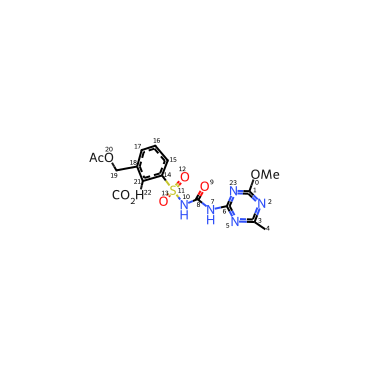 COc1nc(C)nc(NC(=O)NS(=O)(=O)c2cccc(COC(C)=O)c2C(=O)O)n1